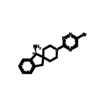 N[C@H]1c2ccccc2CC12CCN(c1ncc(Br)nn1)CC2